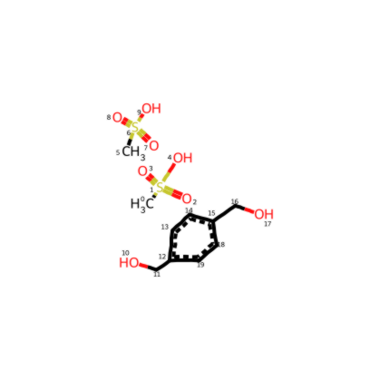 CS(=O)(=O)O.CS(=O)(=O)O.OCc1ccc(CO)cc1